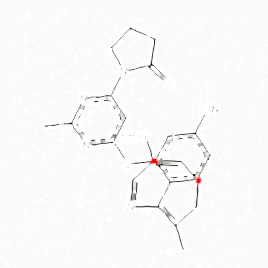 CCCCCCC1=C/CC/C(C)=C(c2ccc(C#N)cc2Oc2cc(N3CCCC3=O)nc(C)n2)/N=C\1